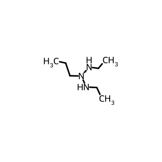 CCCN(NCC)NCC